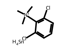 C[N+](C)(C)c1c(Cl)cccc1Cl.[SnH4]